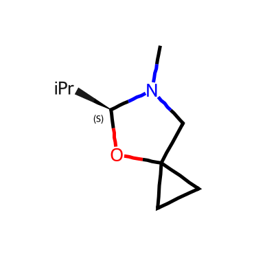 CC(C)[C@@H]1OC2(CC2)CN1C